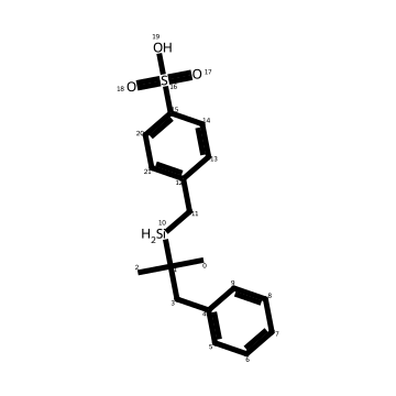 CC(C)(Cc1ccccc1)[SiH2]Cc1ccc(S(=O)(=O)O)cc1